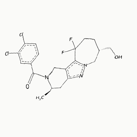 C[C@@H]1Cc2nn3c(c2CN1C(=O)c1ccc(Cl)c(Cl)c1)C(F)(F)CC[C@H](CO)C3